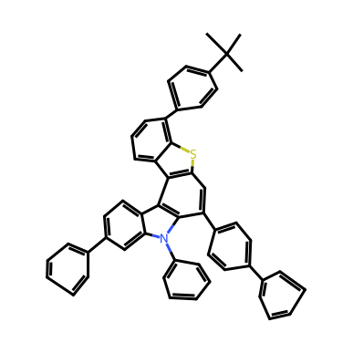 CC(C)(C)c1ccc(-c2cccc3c2sc2cc(-c4ccc(-c5ccccc5)cc4)c4c(c5ccc(-c6ccccc6)cc5n4-c4ccccc4)c23)cc1